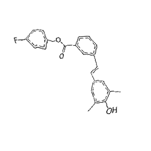 Cc1cc(C=Cc2cccc(C(=O)Oc3ccc(F)cc3)c2)cc(C)c1O